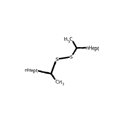 CCCCCCCC(C)SSC(C)CCCCCCC